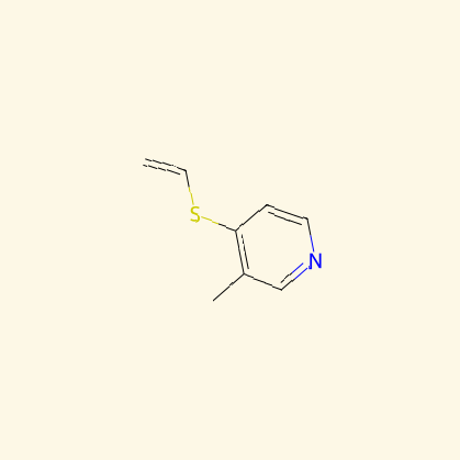 C=CSc1ccncc1C